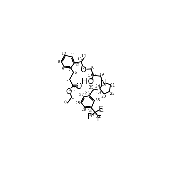 CCOC(=O)CCc1ccccc1C(C)OC[C@H](O)CN1CCC[C@H]1Cc1cccc(C(F)(F)F)c1